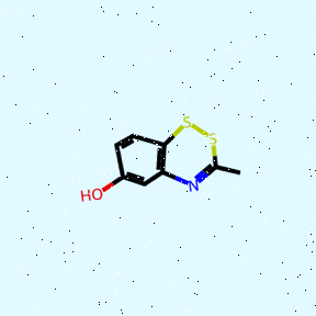 CC1=Nc2cc(O)ccc2SS1